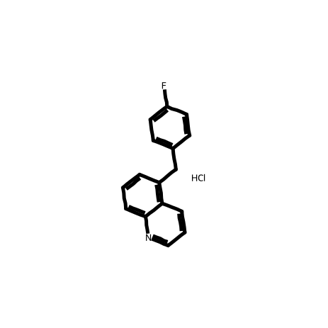 Cl.Fc1ccc(Cc2cccc3ncccc23)cc1